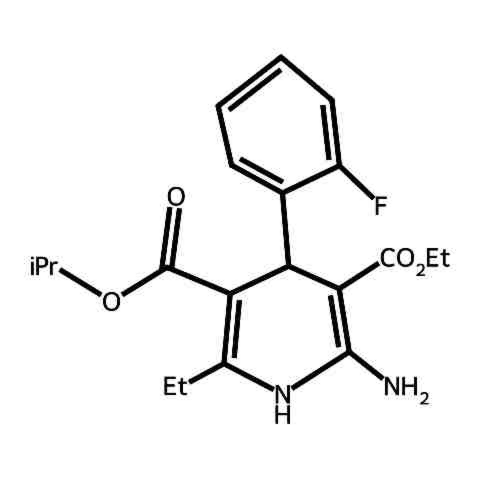 CCOC(=O)C1=C(N)NC(CC)=C(C(=O)OC(C)C)C1c1ccccc1F